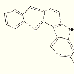 Cc1ccc2c(c1)[nH]c1ccc3cc4ccccc4cc3c12